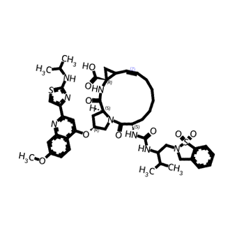 COc1ccc2c(O[C@@H]3C[C@H]4C(=O)N[C@]5(C(=O)O)CC5/C=C\CCCCC[C@H](NC(=O)NC(CN5Cc6ccccc6S5(=O)=O)C(C)C)C(=O)N4C3)cc(-c3csc(NC(C)C)n3)nc2c1